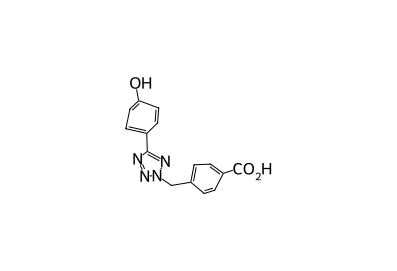 O=C(O)c1ccc(Cn2nnc(-c3ccc(O)cc3)n2)cc1